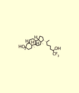 CC(CCCC(O)C(F)(F)F)[C@H]1CC[C@H]2[C@@H]3CC[C@H]4C[C@@](C)(O)CC[C@]4(C)[C@H]3CC[C@]12C